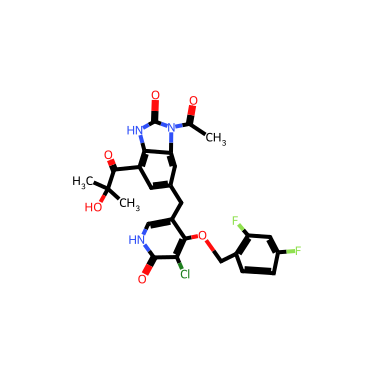 CC(=O)n1c(=O)[nH]c2c(C(=O)C(C)(C)O)cc(Cc3c[nH]c(=O)c(Cl)c3OCc3ccc(F)cc3F)cc21